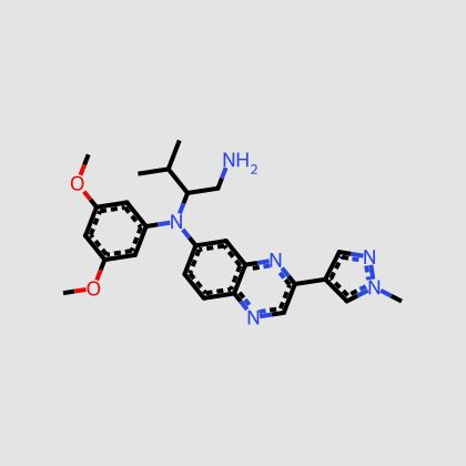 COc1cc(OC)cc(N(c2ccc3ncc(-c4cnn(C)c4)nc3c2)C(CN)C(C)C)c1